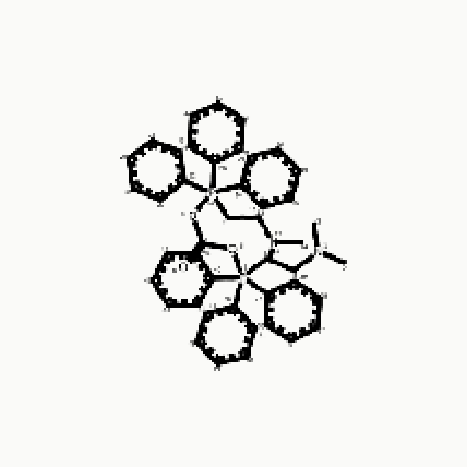 CN(C)CCP(OC(=O)OP(CCN(C)C)(c1ccccc1)(c1ccccc1)c1ccccc1)(c1ccccc1)(c1ccccc1)c1ccccc1